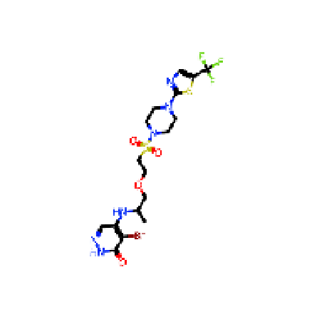 CC(COCCS(=O)(=O)N1CCN(c2ncc(C(F)(F)F)s2)CC1)Nc1cn[nH]c(=O)c1Br